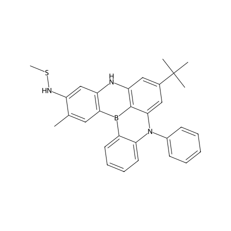 CSNc1cc2c(cc1C)B1c3ccccc3N(c3ccccc3)c3cc(C(C)(C)C)cc(c31)N2